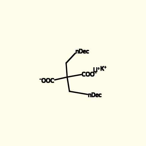 CCCCCCCCCCCC(CCCCCCCCCCC)(C(=O)[O-])C(=O)[O-].[K+].[Li+]